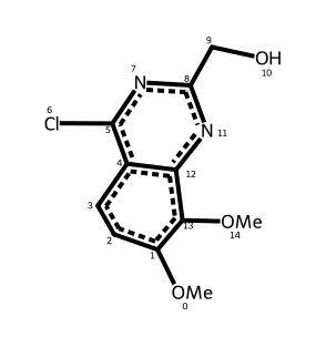 COc1ccc2c(Cl)nc(CO)nc2c1OC